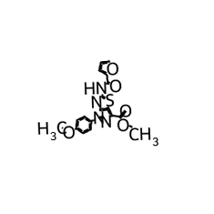 CCOC(=O)c1nn(-c2ccc(OC)cc2)c2nc(NC(=O)c3ccco3)sc12